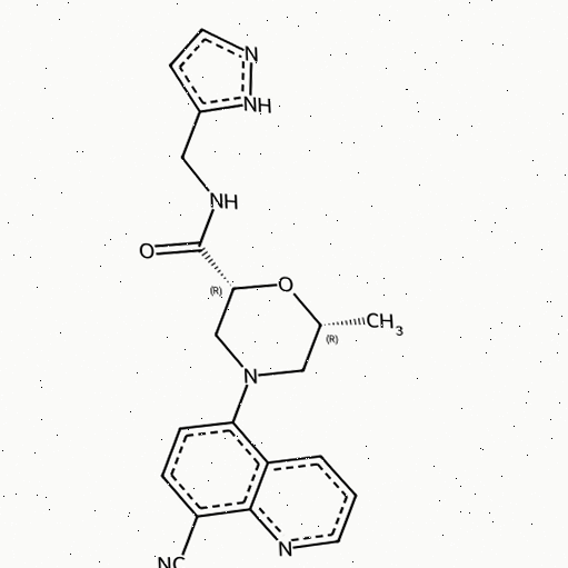 C[C@@H]1CN(c2ccc(C#N)c3ncccc23)C[C@H](C(=O)NCc2ccn[nH]2)O1